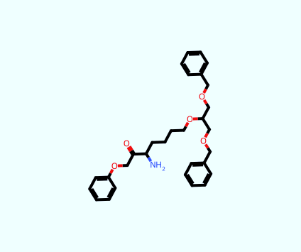 NC(CCCCOC(COCc1ccccc1)COCc1ccccc1)C(=O)COc1ccccc1